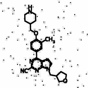 Cc1cc(-c2nc(C#N)nc3c2ccn3CC2CCOC2)ccc1OCC1CCNCC1